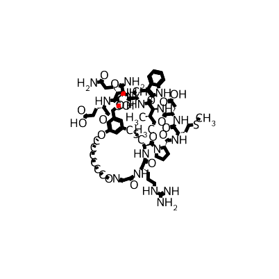 CC[C@H](C)[C@H](NC(=O)[C@H](CC(=O)O)NC(=O)[C@H](CCSC)NC(=O)[C@@H]1CCCN1C(=O)[C@@H]1CSCc2cc(CSC[C@H](NC)C(N)=O)cc(c2)OCCCCCCO/N=C/C(=O)N[C@@H](CCCNC(=N)N)C(=O)N1)C(=O)N[C@@H](Cc1c[nH]c2ccccc12)C(=O)N[C@@H](CCC(N)=O)C(=O)N[C@H](C=O)CCC(=O)O